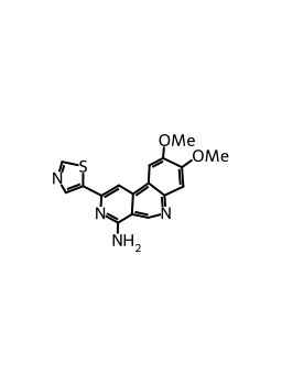 COc1cc2ncc3c(N)nc(-c4cncs4)cc3c2cc1OC